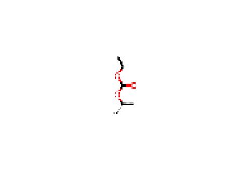 [CH2][C@@H](C)OC(=O)OCC